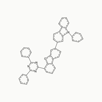 c1ccc(-c2nc(-c3ccccc3)nc(-c3cccc4c3oc3cc(-c5ccc6c7ccccc7n(-c7ccccc7)c6c5)ccc34)n2)cc1